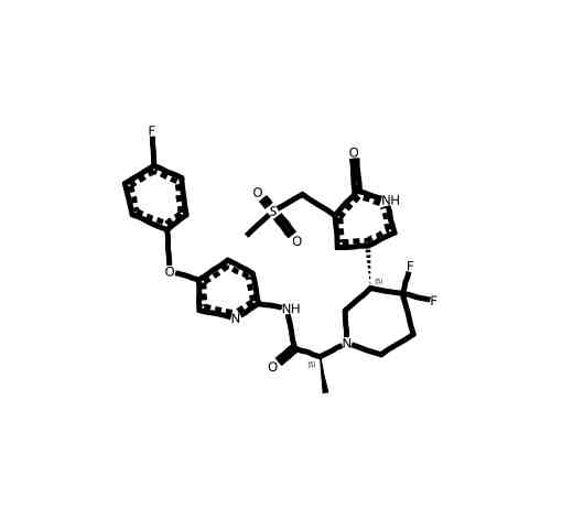 C[C@@H](C(=O)Nc1ccc(Oc2ccc(F)cc2)cn1)N1CCC(F)(F)[C@@H](c2c[nH]c(=O)c(CS(C)(=O)=O)c2)C1